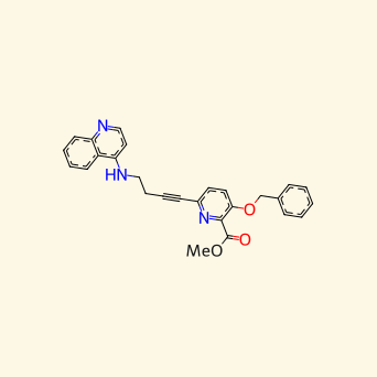 COC(=O)c1nc(C#CCCNc2ccnc3ccccc23)ccc1OCc1ccccc1